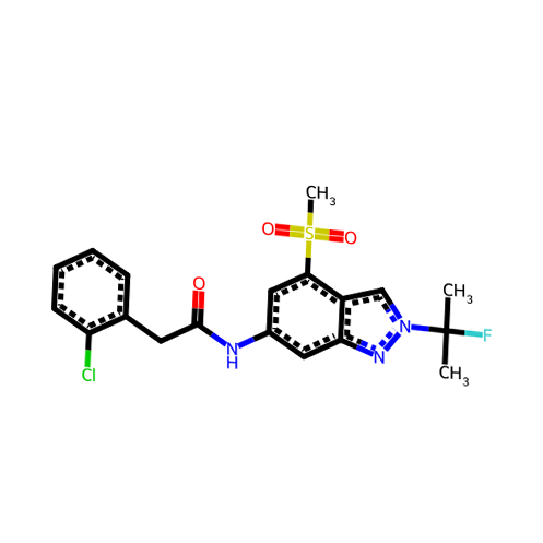 CC(C)(F)n1cc2c(S(C)(=O)=O)cc(NC(=O)Cc3ccccc3Cl)cc2n1